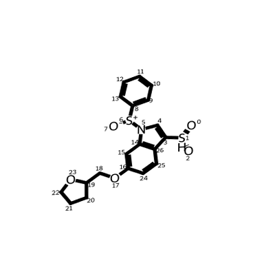 O=[SH](=O)c1cn([S+]([O-])c2ccccc2)c2cc(OCC3CCCO3)ccc12